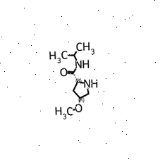 CO[C@H]1CN[C@@H](C(=O)NC(C)C)C1